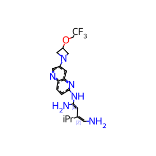 CC(C)C(=C/N)/C=C(\N)Nc1ccc2ncc(N3CC(OCC(F)(F)F)C3)cc2n1